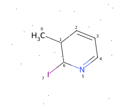 CC1C=CC=NC1I